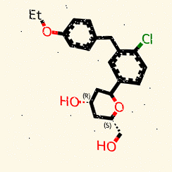 CCOc1ccc(Cc2cc(C3C[C@@H](O)C[C@@H](CO)O3)ccc2Cl)cc1